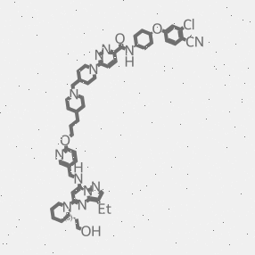 CCc1cnn2c(NCc3ccc(OCCCC4CCN(CC5CCN(c6ccc(C(=O)N[C@H]7CC[C@H](Oc8ccc(C#N)c(Cl)c8)CC7)nn6)CC5)CC4)nc3)cc(N3CCCC[C@H]3CCO)nc12